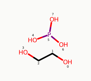 OCCO.OP(O)O